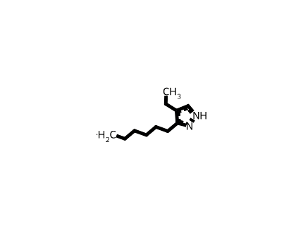 [CH2]CCCCCc1n[nH]cc1CC